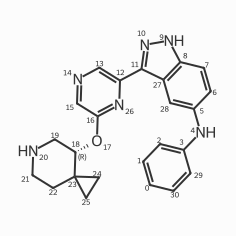 c1ccc(Nc2ccc3[nH]nc(-c4cncc(O[C@H]5CNCCC56CC6)n4)c3c2)cc1